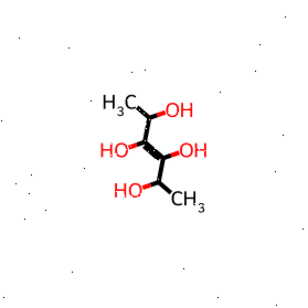 CC(O)/C(O)=C(\O)C(C)O